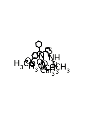 COC(=O)c1ccc2c(C3CCCCC3)c(-c3ccsc3CNCCN(C)C)n(CC(=O)OC(C)(C)C)c2c1